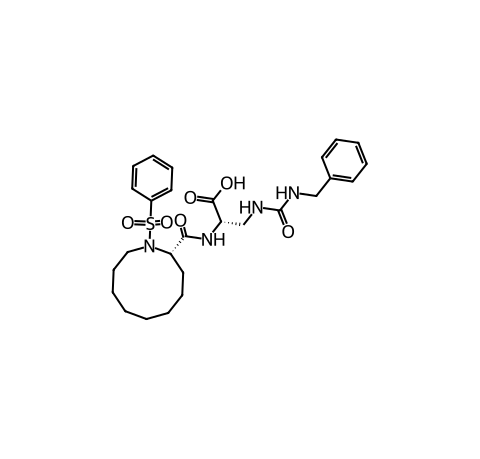 O=C(NCc1ccccc1)NC[C@H](NC(=O)[C@@H]1CCCCCCCCN1S(=O)(=O)c1ccccc1)C(=O)O